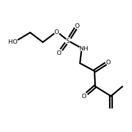 C=C(C)C(=O)C(=O)CNS(=O)(=O)OCCO